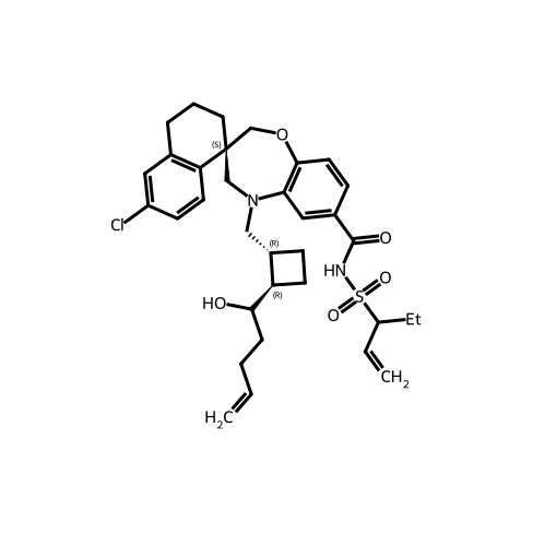 C=CCCC(O)[C@@H]1CC[C@H]1CN1C[C@@]2(CCCc3cc(Cl)ccc32)COc2ccc(C(=O)NS(=O)(=O)C(C=C)CC)cc21